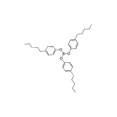 CCCCCc1ccc(OB(Oc2ccc(CCCCC)cc2)Oc2ccc(CCCCC)cc2)cc1